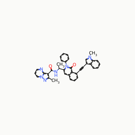 Cc1nn2cccnc2c1C(=O)NC(C)c1cc2cccc(C#Cc3cn(C)c4ccccc34)c2c(=O)n1-c1ccccc1